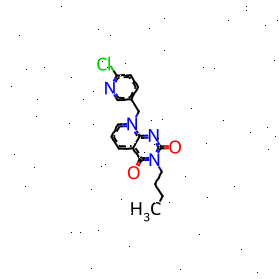 CCCCn1c(=O)nc2n(Cc3ccc(Cl)nc3)cccc-2c1=O